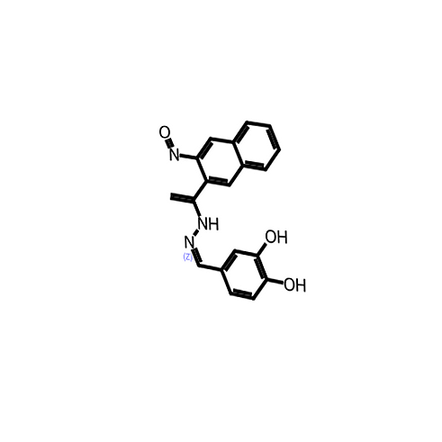 C=C(N/N=C\c1ccc(O)c(O)c1)c1cc2ccccc2cc1N=O